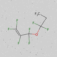 FC(F)=C(F)C(F)(F)OC(F)(F)CC(F)(F)F